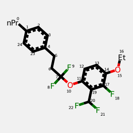 CCCc1ccc(CCC(F)(F)Oc2ccc(OCC)c(F)c2C(F)F)cc1